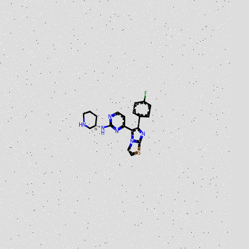 Fc1ccc(-c2nc3sccn3c2-c2ccnc(N[C@H]3CCCNC3)n2)cc1